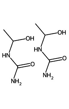 CC(O)NC(N)=O.CC(O)NC(N)=O